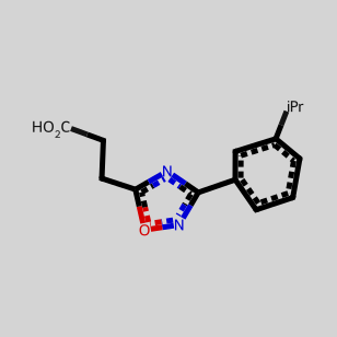 CC(C)c1cccc(-c2noc(CCC(=O)O)n2)c1